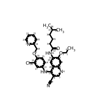 CCOc1cc2ncc(C#N)c(Nc3ccc(OCc4ccccn4)c(Cl)c3)c2cc1NC(=O)CCCC(C)C